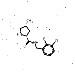 C[C@H]1CN[C@H](C(=O)NCc2cccc(Cl)c2F)C1